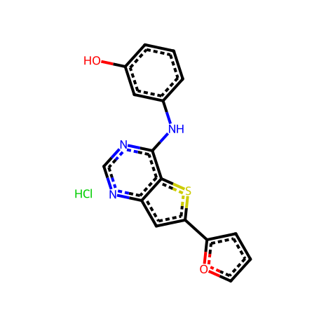 Cl.Oc1cccc(Nc2ncnc3cc(-c4ccco4)sc23)c1